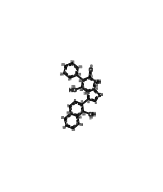 O=c1[nH]c2scc(-c3ccc4ccccc4c3O)c2c(O)c1-c1ccccc1